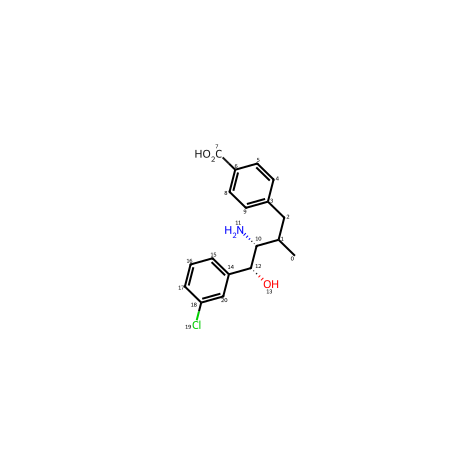 CC(Cc1ccc(C(=O)O)cc1)[C@@H](N)[C@H](O)c1cccc(Cl)c1